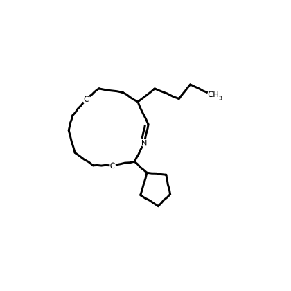 CCCCC1C=NC(C2CCCC2)CCCCCCCC1